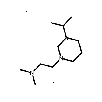 CC(C)C1CCCN(CCN(C)C)C1